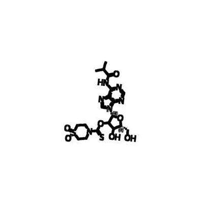 CC(C)C(=O)Nc1ncnc2c1ncn2[C@@H]1O[C@H](CO)C(O)C1OC(=S)N1CCS(=O)(=O)CC1